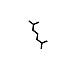 C[C](C)CCC[C](C)C